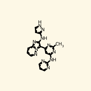 Cc1nc(Nc2ncccn2)cc(-c2c(Nc3cc[nH]n3)nc3cccnn23)n1